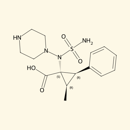 C[C@@H]1[C@H](c2ccccc2)[C@@]1(C(=O)O)N(N1CCNCC1)S(N)(=O)=O